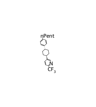 CCCCCc1ccc([C@H]2CC[C@H](c3ccc(C(F)(F)F)nc3)CC2)cc1